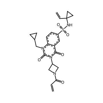 C=CC(=O)N1CC(n2c(=O)c3cc(S(=O)(=O)NC4(C=C)CC4)ccc3n(CC3CC3)c2=O)C1